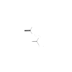 C=C(C#N)C(=O)O.CCCCCC(N)O